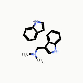 CN(C)Cc1c[nH]c2ccccc12.c1ccc2[nH]ccc2c1